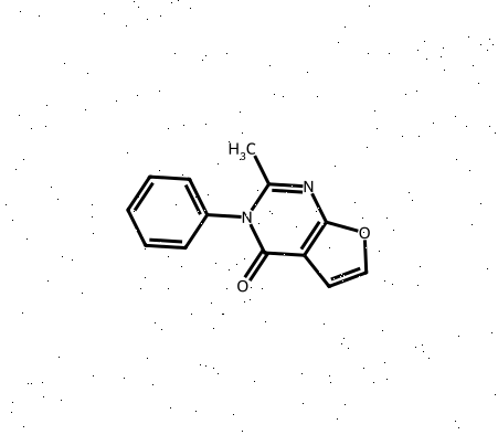 Cc1nc2occc2c(=O)n1-c1ccccc1